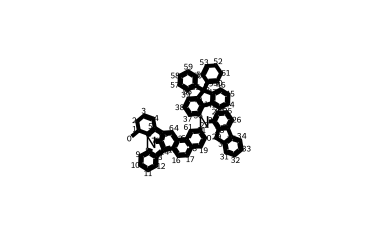 CC1CC=Cc2c1n1c3ccccc3c3c4ccc5ccc(N(c6cccc7c6Cc6ccccc6-7)c6cccc7c6-c6ccccc6C7(C6=CCCC=C6)c6ccccc6)cc5c4cc2c31